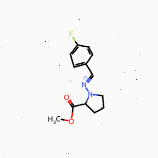 COC(=O)C1CCCN1/N=C/c1ccc(F)cc1